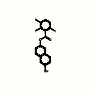 O=C(Oc1ccc2cc(O)ccc2c1)c1c(I)ccc(I)c1I